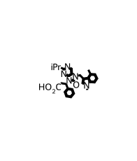 Cc1cccc2c1c(Cn1c(=O)n(C(CC(=O)O)c3ccccc3)c3nc(C(C)C)ncc31)cn2C